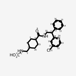 O=C(O)NCC1CCC(C(=O)NCC(c2ccccc2)c2cc(Cl)ccn2)CC1